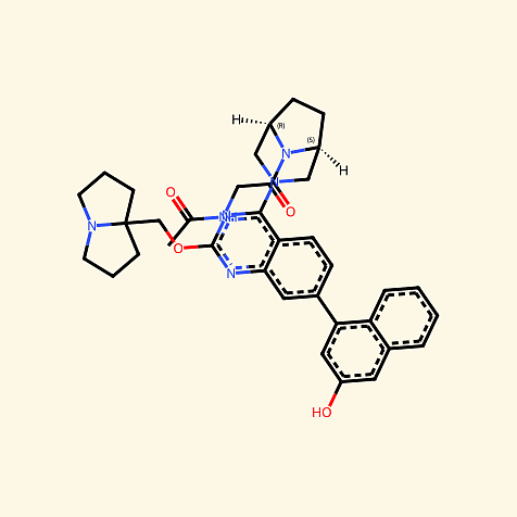 CC(=O)NCC(=O)N1[C@@H]2CC[C@H]1CN(c1nc(OCC34CCCN3CCC4)nc3cc(-c4cc(O)cc5ccccc45)ccc13)C2